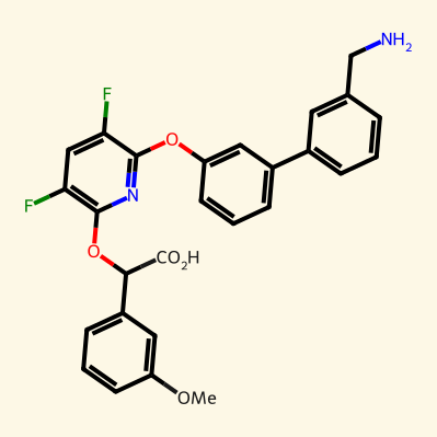 COc1cccc(C(Oc2nc(Oc3cccc(-c4cccc(CN)c4)c3)c(F)cc2F)C(=O)O)c1